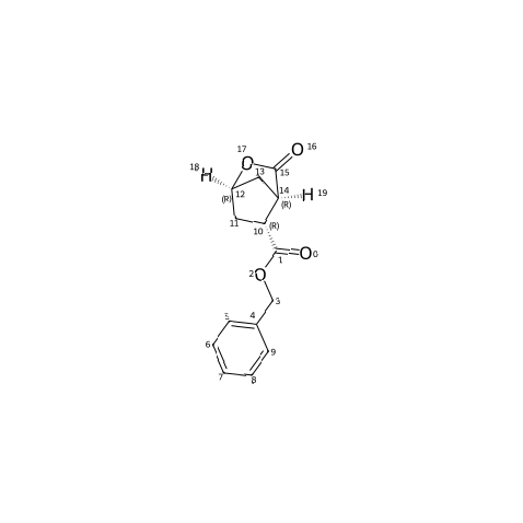 O=C(OCc1ccccc1)[C@@H]1C[C@@H]2C[C@H]1C(=O)O2